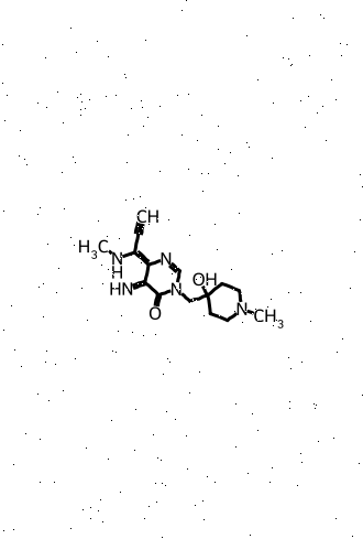 C#C/C(NC)=C1\N=CN(CC2(O)CCN(C)CC2)C(=O)C1=N